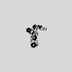 CC(C)(O)Cn1ccc(NC(=O)[C@@H](CC2CCCC2)n2ncc(Oc3c(F)cccc3F)cc2=O)n1